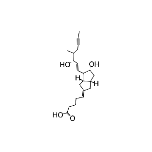 CC#CCC(C)[C@@H](O)/C=C/C1[C@H](O)C[C@@H]2C/C(=C/CCCC(=O)O)C[C@H]12